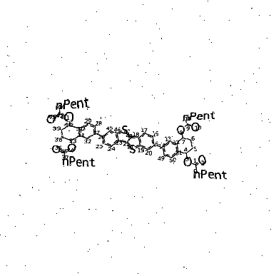 CCCCCC(=O)OC1CCC(OC(=O)CCCCC)c2cc(-c3ccc4c(c3)sc3c5ccc(-c6ccc7c(c6)C(OC(=O)CCCCC)CCC7OC(=O)CCCCC)cc5sc43)ccc21